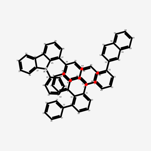 c1ccc(-c2ccccc2-c2c(-c3ccccc3)cccc2N(c2ccc(-c3cccc4c5ccccc5n(-c5ccccc5)c34)cc2)c2cccc(-c3ccc4ccccc4c3)c2)cc1